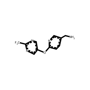 NCc1ccc(Oc2cnc(C(F)(F)F)nc2)nc1